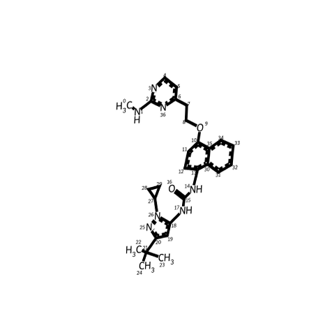 CNc1nccc(CCOc2ccc(NC(=O)Nc3cc(C(C)(C)C)nn3C3CC3)c3ccccc23)n1